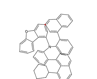 c1ccc(N(c2ccccc2-c2cccc3cccc(C4CCCCC4)c23)c2cccc3oc4ccccc4c23)c(-c2cccc3ccccc23)c1